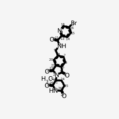 C[C@]1(N2C(=O)c3ccc(CNC(=O)c4ccc(Br)cn4)cc3C2=O)CCC(=O)NC1=O